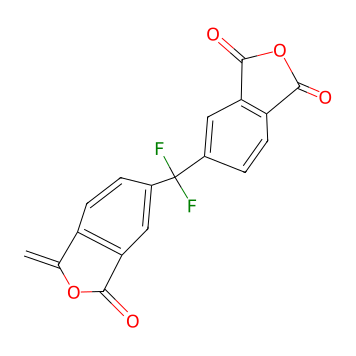 C=C1OC(=O)c2cc(C(F)(F)c3ccc4c(c3)C(=O)OC4=O)ccc21